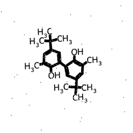 Cc1cc(C(C)(C)C)cc(-c2cc(C(C)(C)C)cc(C)c2O)c1O